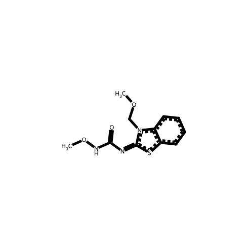 COCn1c(=NC(=O)NOC)sc2ccccc21